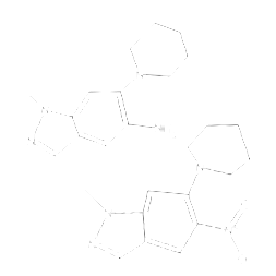 Cn1ncc2cc(N)c(N3CCCCC3)cc21.Cn1ncc2cc([N+](=O)[O-])c(N3CCCCC3)cc21